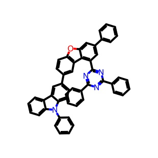 c1ccc(-c2cc(-c3nc(-c4ccccc4)nc(-c4ccccc4)n3)c3c(c2)oc2ccc(-c4ccc5c(c4)c4ccccc4n5-c4ccccc4)cc23)cc1